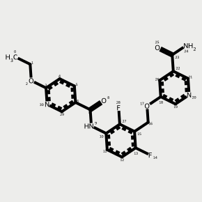 CCOc1ccc(C(=O)Nc2ccc(F)c(COc3cncc(C(N)=O)c3)c2F)cn1